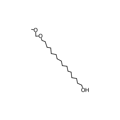 COCOCCCCCCCCCCCCCCCCO